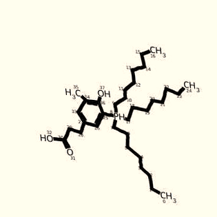 CCCCCCCC[PH](CCCCCCCC)(CCCCCCCC)c1cc(CCC(=O)O)cc(C)c1O